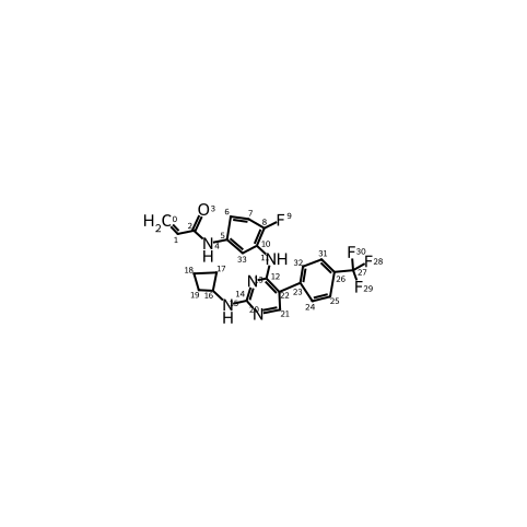 C=CC(=O)Nc1ccc(F)c(Nc2nc(NC3CCC3)ncc2-c2ccc(C(F)(F)F)cc2)c1